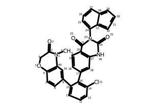 CN1C(=O)COc2ccc(-c3cccc(Cl)c3-c3ccc4c(=O)n(-c5cccc6ccccc56)c(=O)[nH]c4c3)cc21